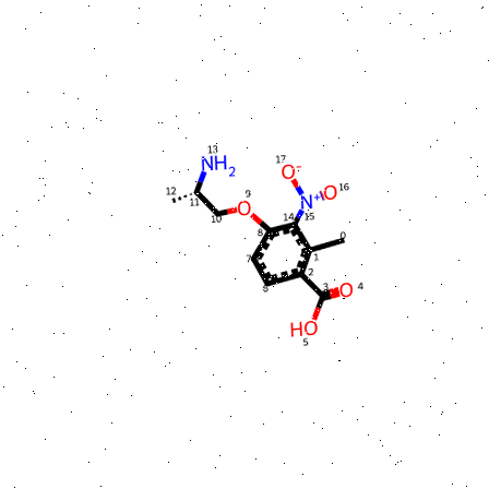 Cc1c(C(=O)O)ccc(OC[C@H](C)N)c1[N+](=O)[O-]